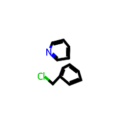 ClCc1ccccc1.c1ccncc1